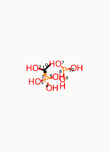 CC(O)=P(O)(O)O.OP(O)O